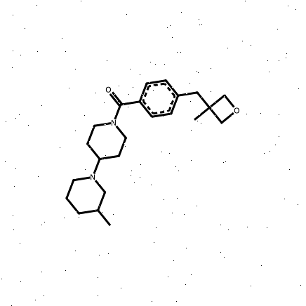 CC1CCCN(C2CCN(C(=O)c3ccc(CC4(C)COC4)cc3)CC2)C1